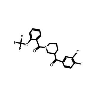 O=C(c1ccc(F)c(F)c1)C1CCCN(C(=O)c2ccccc2OC(F)(F)F)C1